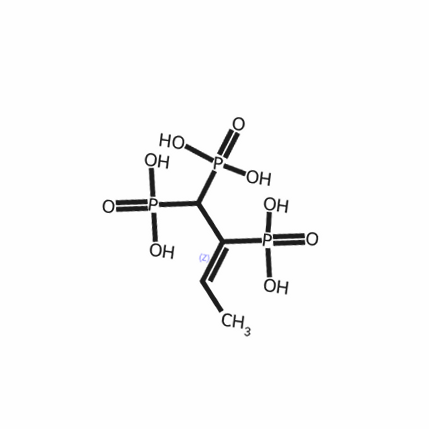 C/C=C(/C(P(=O)(O)O)P(=O)(O)O)P(=O)(O)O